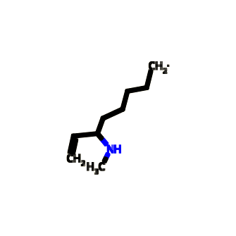 [CH2]CCCCC(C=C)NC